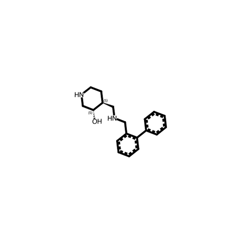 O[C@@H]1CNCC[C@H]1CNCc1ccccc1-c1ccccc1